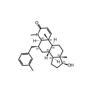 Cc1cccc(C[C@@H]2C[C@@H]3[C@H](CC[C@]4(C)[C@@H](O)CC[C@@H]34)[C@@]3(C)C=CC(=O)N(C)[C@H]23)c1